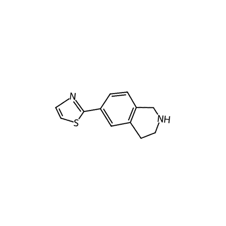 c1csc(-c2ccc3c(c2)CCNC3)n1